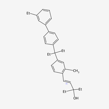 CCc1cccc(-c2ccc(C(CC)(CC)c3ccc(/C=C/C(O)(CC)CC)c(C)c3)cc2)c1